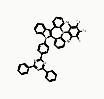 [2H]c1c([2H])c([2H])c(N2c3ccccc3-c3c(n(-c4ccc(-c5nc(-c6ccccc6)nc(-c6ccccc6)n5)cc4)c4ccccc34)-c3ccccc32)c([2H])c1[2H]